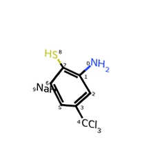 Nc1cc(C(Cl)(Cl)Cl)ccc1S.[NaH]